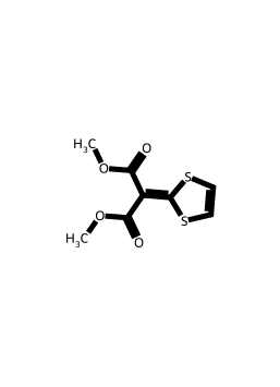 COC(=O)C(C(=O)OC)=C1SC=CS1